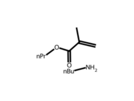 C=C(C)C(=O)OCCC.CCCCN